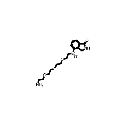 NCCOCCOCCOCC[S+]([O-])c1cccc2c1CNC2=O